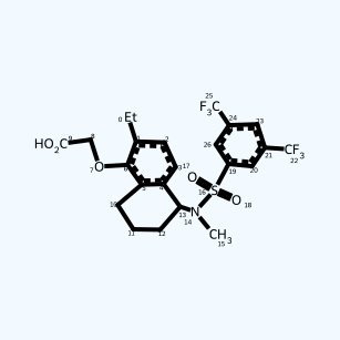 CCc1ccc2c(c1OCC(=O)O)CCCC2N(C)S(=O)(=O)c1cc(C(F)(F)F)cc(C(F)(F)F)c1